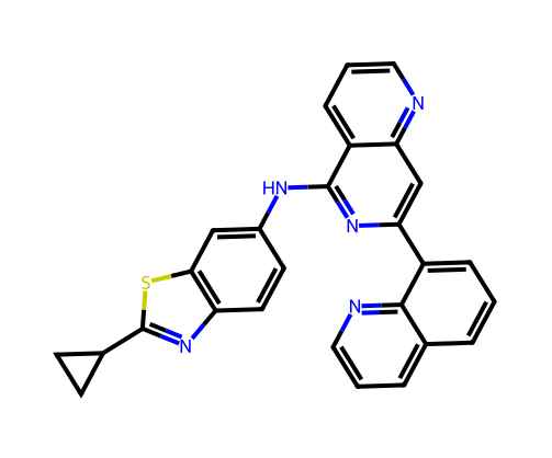 c1cnc2c(-c3cc4ncccc4c(Nc4ccc5nc(C6CC6)sc5c4)n3)cccc2c1